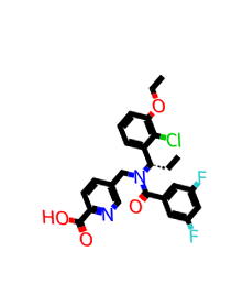 CCOc1cccc([C@H](CC)N(Cc2ccc(C(=O)O)nc2)C(=O)c2cc(F)cc(F)c2)c1Cl